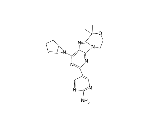 CC1(C)OCCn2c1nc1c(N3C4=CCCC43)nc(-c3cnc(N)nc3)nc12